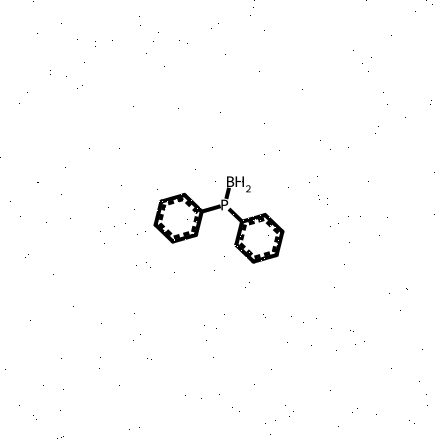 BP(c1ccccc1)c1ccccc1